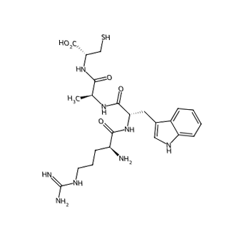 C[C@H](NC(=O)[C@H](Cc1c[nH]c2ccccc12)NC(=O)[C@@H](N)CCCNC(=N)N)C(=O)N[C@@H](CS)C(=O)O